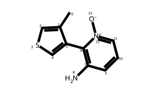 Cc1cscc1-c1c(N)[c]cc[n+]1[O-]